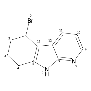 BrC1CCCc2[nH]c3ncccc3c21